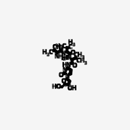 CC(C)[C@H](N)C(=O)N[C@H](C(=O)N[C@H](C(=O)Nc1ccn([C@H]2C[C@H](O)[C@@H](CO)O2)c(=O)n1)C(C)C)C(C)C